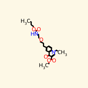 CCCCOC(=O)NCCOCCCc1ccc2c(c1)c(=O)c(C(=O)OCC)cn2CC